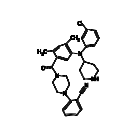 Cc1cc(C)c(N(c2cccc(Cl)c2)C2CCNCC2)cc1C(=O)N1CCN(c2ccccc2C#N)CC1